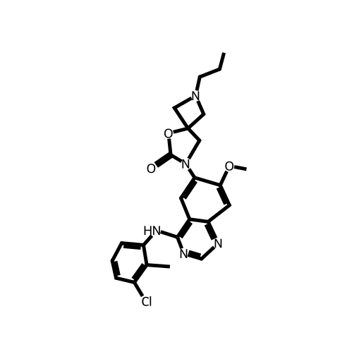 CCCN1CC2(C1)CN(c1cc3c(Nc4cccc(Cl)c4C)ncnc3cc1OC)C(=O)O2